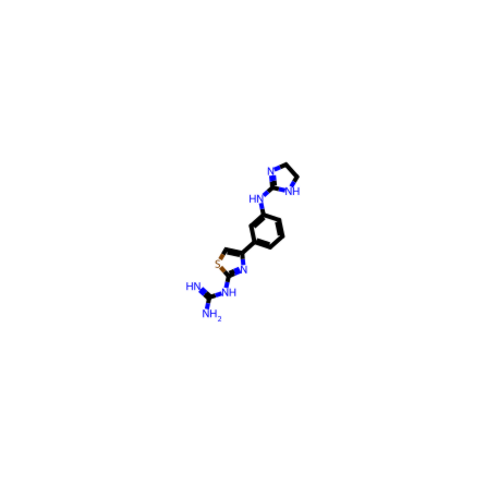 N=C(N)Nc1nc(-c2cccc(NC3=NCCN3)c2)cs1